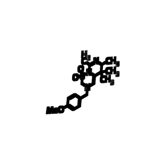 COc1ccc(CN2C=C3N(C(C)=N[C@@H](C)C3(C)C)S(=O)(=O)C2)cc1